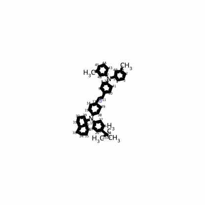 Cc1cccc(N(c2ccc(/C=C/c3ccc(N(c4ccc(C(C)(C)C)cc4)c4cccc5ccccc45)cc3)cc2)c2cccc(C)c2)c1